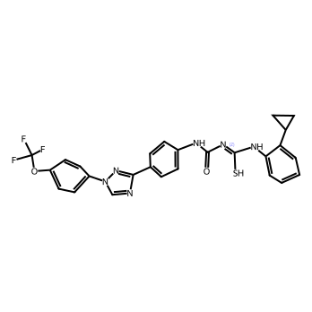 O=C(/N=C(\S)Nc1ccccc1C1CC1)Nc1ccc(-c2ncn(-c3ccc(OC(F)(F)F)cc3)n2)cc1